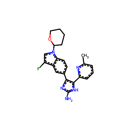 Cc1cccc(-c2[nH]c(N)nc2-c2ccc3c(c2)c(F)cn3C2CCCCO2)n1